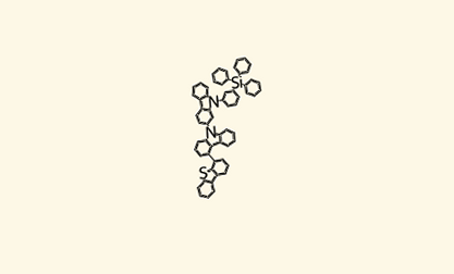 c1ccc([Si](c2ccccc2)(c2ccccc2)c2cccc(-n3c4ccccc4c4ccc(-n5c6ccccc6c6c(-c7cccc8c7sc7ccccc78)cccc65)cc43)c2)cc1